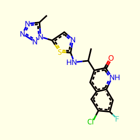 Cc1nnnn1-c1cnc(NC(C)c2cc3cc(Cl)c(F)cc3[nH]c2=O)s1